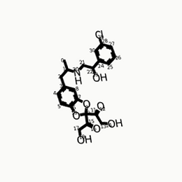 CC(Cc1ccc2c(c1)OC(C(=O)CO)(C(=O)CO)O2)NCC(O)c1cccc(Cl)c1